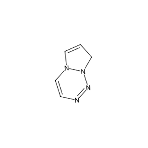 C1=CN2C=CN=NN2C1